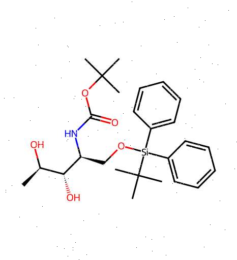 C[C@@H](O)[C@@H](O)[C@H](CO[Si](c1ccccc1)(c1ccccc1)C(C)(C)C)NC(=O)OC(C)(C)C